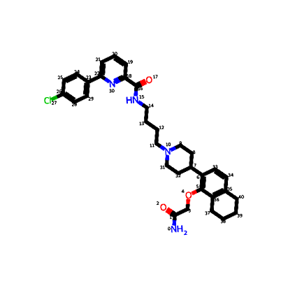 NC(=O)COc1c(C2CCN(CCCCNC(=O)c3cccc(-c4ccc(Cl)cc4)n3)CC2)ccc2c1CCCC2